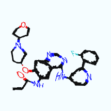 C=CC(=O)Nc1cc2c(Nc3ccnc(-c4ccccc4F)c3)ncnc2cc1O[C@@H]1CCN(C2CCOCC2)C1